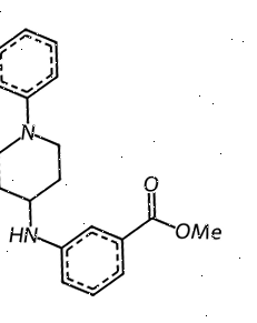 COC(=O)c1cccc(NC2CCN(c3ccccc3)CC2)c1